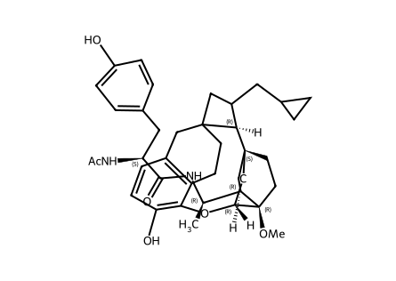 CO[C@]12CC[C@]3(C[C@@H]1[C@@H](C)NC(=O)[C@H](Cc1ccc(O)cc1)NC(C)=O)C[C@H]2Oc1c(O)ccc2c1CCC1(C2)CC(CC2CC2)[C@H]13